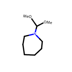 COC(OC)N1CCCCCC1